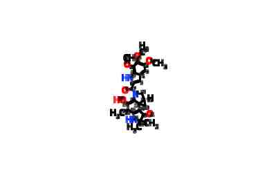 COc1cc2cc(C(=O)N3C[C@H]4CC45C4=C(NC(C)(C)C4=O)C(C)C(O)=C35)[nH]c2c(OC)c1OC